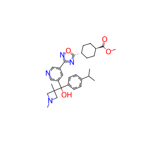 COC(=O)[C@H]1CC[C@H](c2nc(-c3cncc(C(O)(c4ccc(C(C)C)cc4)C4(C)CN(C)C4)c3)no2)CC1